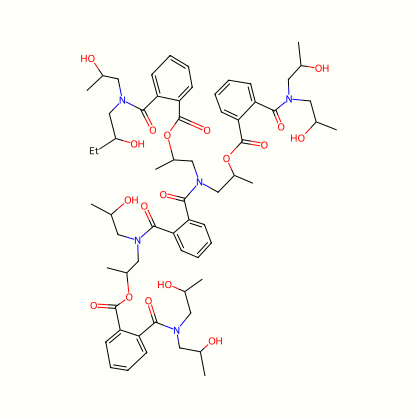 CCC(O)CN(CC(C)O)C(=O)c1ccccc1C(=O)OC(C)CN(CC(C)OC(=O)c1ccccc1C(=O)N(CC(C)O)CC(C)O)C(=O)c1ccccc1C(=O)N(CC(C)O)CC(C)OC(=O)c1ccccc1C(=O)N(CC(C)O)CC(C)O